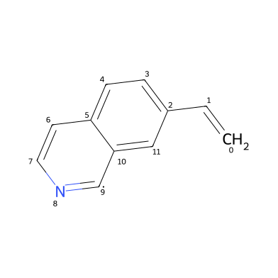 C=Cc1ccc2ccn[c]c2c1